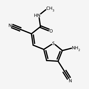 CNC(=O)C(C#N)=Cc1cc(C#N)c(N)s1